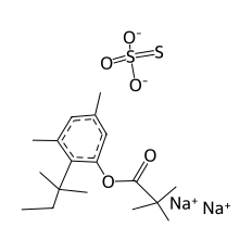 CCC(C)(C)c1c(C)cc(C)cc1OC(=O)C(C)(C)C.O=S([O-])([O-])=S.[Na+].[Na+]